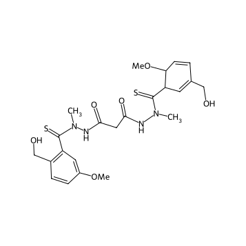 COc1ccc(CO)c(C(=S)N(C)NC(=O)CC(=O)NN(C)C(=S)C2C=C(CO)C=CC2OC)c1